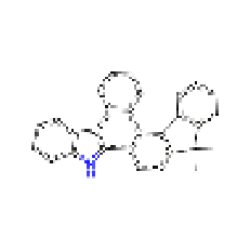 CC1(C)c2ccccc2-c2c1ccc1c3[nH]c4ccccc4c3c3ccccc3c21